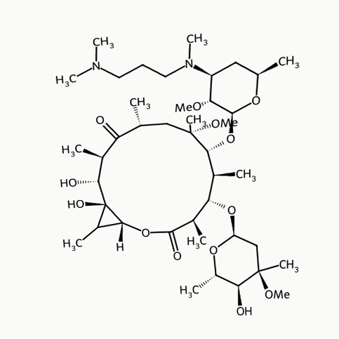 CO[C@H]1[C@H](O[C@@H]2[C@@H](C)[C@H](O[C@H]3C[C@@](C)(OC)[C@@H](O)[C@H](C)O3)[C@@H](C)C(=O)O[C@@H]3C(C)[C@]3(O)[C@H](O)[C@@H](C)C(=O)[C@H](C)C[C@]2(C)OC)O[C@H](C)C[C@@H]1N(C)CCCN(C)C